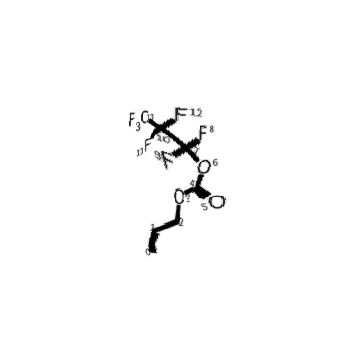 C=CCOC(=O)OC(F)(F)C(F)(F)C(F)(F)F